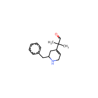 CC(C)(C=O)C1=CCNC(Cc2ccccc2)C1